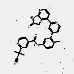 Cc1ccc(NC(=O)c2ccnc(C(C)(C)C#N)c2)cc1-c1ccnc(-c2ccnc3c2CC(=O)N3)c1